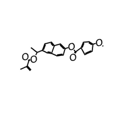 C=C(C)C(=O)OC(C)c1ccc2cc(OC(=O)c3ccc(OC)cc3)ccc2c1